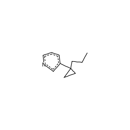 CCCC1(c2cccnc2)CC1